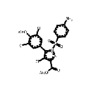 COC(=O)c1nn(S(=O)(=O)c2ccc(N)cc2)c(-c2cc(Cl)c(OC)c(Cl)c2)c1Cl